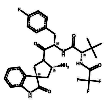 CC(C)(C)[C@H](NC(=O)C(F)(F)F)C(=O)N[C@@H](Cc1ccc(F)cc1)C(=O)N1C[C@]2(C[C@H]1N)C(=O)Nc1ccccc12